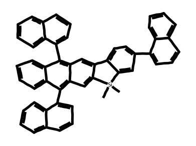 C[Si]1(C)c2cc(-c3cccc4ccccc34)ccc2-c2cc3c(-c4cccc5ccccc45)c4ccccc4c(-c4cccc5ccccc45)c3cc21